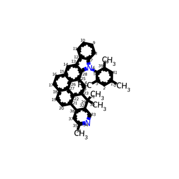 Cc1cc(C)c(-n2c3ccccc3c3cc4ccc5ccc6c7c(cc(c4c57)c32)C(C)(C)c2cnc(C)cc2-6)c(C)c1